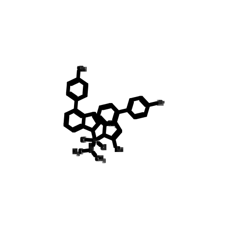 CCC(C)C1=Cc2c(-c3ccc(C(C)C)cc3)cccc2[CH]1[Zr]([Cl])([Cl])([CH]1C(C)=Cc2c(-c3ccc(C(C)(C)C)cc3)cccc21)[SiH](C)C